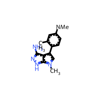 CNc1ccc(-c2cn(C)c3[nH]nc(N)c23)c(C)c1